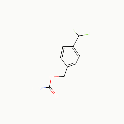 NC(=O)OCc1ccc(C(F)F)cc1